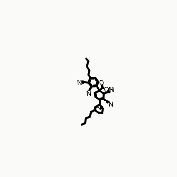 CCCCCc1ccc(C2(C(=O)O)C=CC(C3CC4(CCCCC)CCC3CC4)=C(C#N)C2C#N)c(C#N)c1C#N